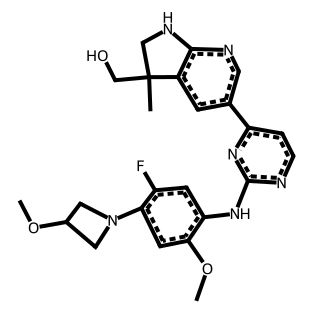 COc1cc(N2CC(OC)C2)c(F)cc1Nc1nccc(-c2cnc3c(c2)C(C)(CO)CN3)n1